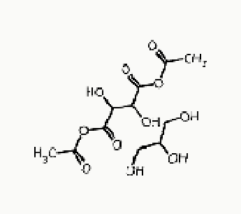 CC(=O)OC(=O)C(O)C(O)C(=O)OC(C)=O.OCC(O)CO